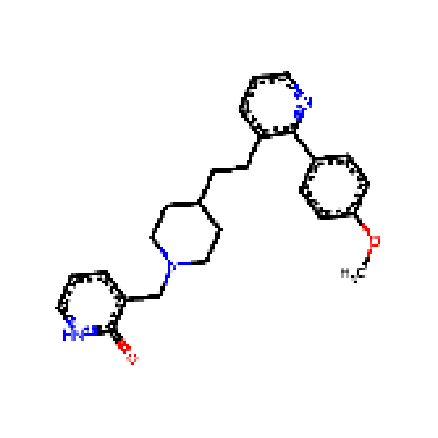 COc1ccc(-c2ncccc2CCC2CCN(Cc3ccc[nH]c3=O)CC2)cc1